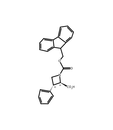 O=C(O)[C@H]1[C@H](c2ccccc2)CN1C(=O)OCC1c2ccccc2-c2ccccc21